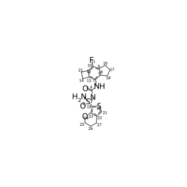 NS(=O)(=NC(=O)Nc1c2c(c(F)c3c1CC3)CCC2)c1scc2c1OCCC2